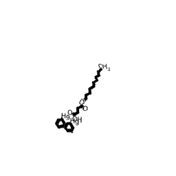 CCCCCCCCCCCCOC(=O)CCC(=O)O.[Hg][c]1ccccc1.[Hg][c]1ccccc1